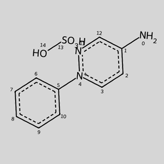 Nc1cc[n+](-c2ccccc2)nc1.O=S(=O)(O)O